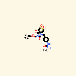 CCCCNC(=O)NC1CCC(CN2C(=O)N(COCC[Si](C)(C)C)C(=O)C23CCS(=O)(=O)CC3)CC1